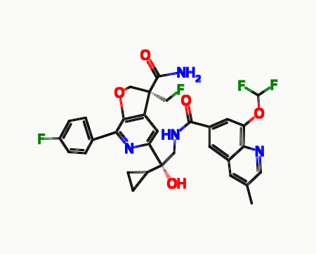 Cc1cnc2c(OC(F)F)cc(C(=O)NC[C@](O)(c3cc4c(c(-c5ccc(F)cc5)n3)OC[C@@]4(CF)C(N)=O)C3CC3)cc2c1